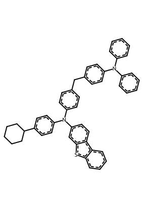 c1ccc(N(c2ccccc2)c2ccc(Cc3ccc(N(c4ccc(C5CCCCC5)cc4)c4ccc5c(c4)sc4ccccc45)cc3)cc2)cc1